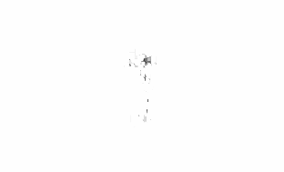 C[C@@](CCn1cc2cc(C#CC#CC3(N)CC3)ccc2n1)(C(=O)NO)S(C)(=O)=O